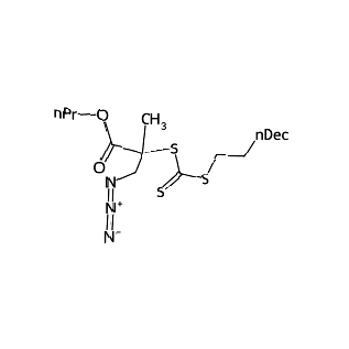 CCCCCCCCCCCCSC(=S)SC(C)(CN=[N+]=[N-])C(=O)OCCC